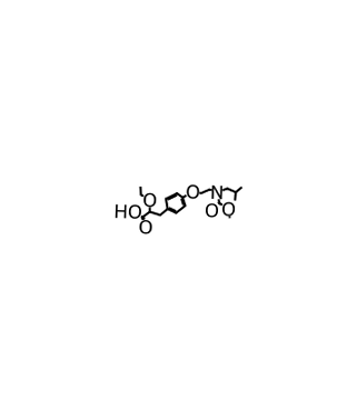 CCOC(Cc1ccc(OCCN(CC(C)C)C(=O)OC)cc1)C(=O)O